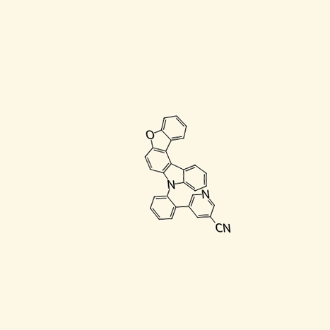 N#Cc1cncc(-c2ccccc2-n2c3ccccc3c3c4c(ccc32)oc2ccccc24)c1